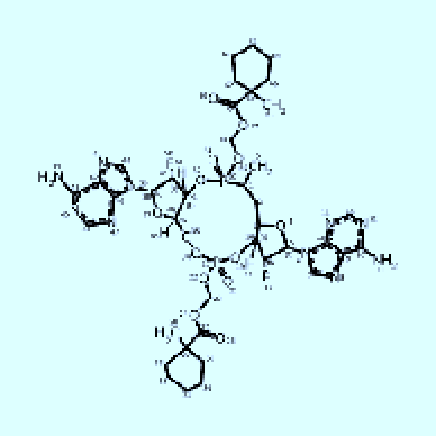 CC1CC2O[C@@H](n3cnc4c(N)ncnc43)[C@H](F)[C@@H]2OP(=O)(OCOC(=O)C2(C)CCCCC2)OC[C@H]2O[C@@H](n3cnc4c(N)ncnc43)[C@H](F)[C@@H]2OP1(=O)OCOC(=O)C1(C)CCCCC1